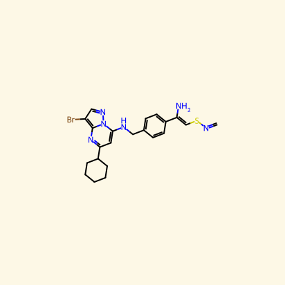 C=NS/C=C(\N)c1ccc(CNc2cc(C3CCCCC3)nc3c(Br)cnn23)cc1